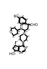 C[C@@H]1C[C@@H](O)c2ncnc(N3CCN(C(CC(C=O)c4ccc(Br)cc4)NC4CCOCC4)CC3)c21